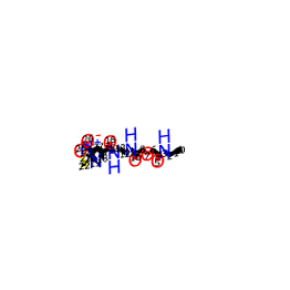 C#CCNC(=O)COCC(=O)NCCNC(=O)c1cnc(SC)c([N+](=O)[O-])c1